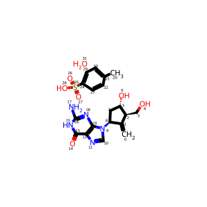 C=C1[C@H](CO)[C@@H](O)C[C@@H]1n1cnc2c(=O)[nH]c(N)nc21.Cc1ccc(S(=O)(=O)O)cc1.O